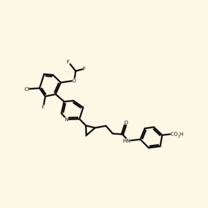 O=C(CCC1CC1c1ccc(-c2c(OC(F)F)ccc(Cl)c2F)cn1)Nc1ccc(C(=O)O)cc1